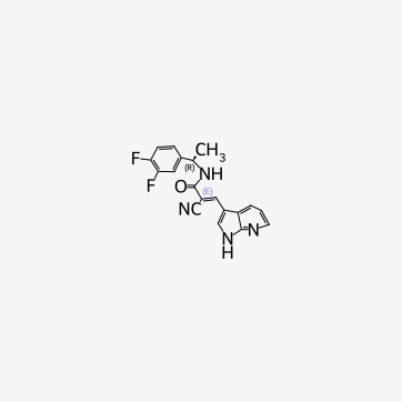 C[C@@H](NC(=O)/C(C#N)=C/c1c[nH]c2ncccc12)c1ccc(F)c(F)c1